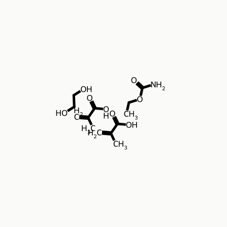 C=C(C)C(=O)O.C=C(C)C(=O)O.CCOC(N)=O.OCCO